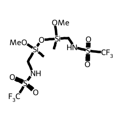 CO[Si](C)(CNS(=O)(=O)C(F)(F)F)O[Si](C)(CNS(=O)(=O)C(F)(F)F)OC